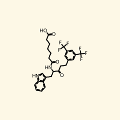 O=C(O)CCCCCC(=O)NC(Cc1c[nH]c2ccccc12)C(=O)CCc1cc(C(F)(F)F)cc(C(F)(F)F)c1